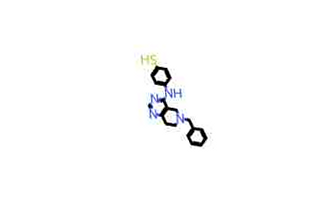 Sc1ccc(Nc2ncnc3c2CN(Cc2ccccc2)CC3)cc1